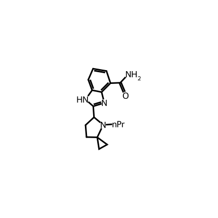 CCCN1C(c2nc3c(C(N)=O)cccc3[nH]2)CCC12CC2